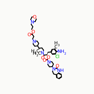 Cc1cc(C[C@@H](OC(=O)N2CCC(N3CCc4ccccc4NC3=O)CC2)C(=O)N(C)CCC(C)C2CCN(CCC(=O)OCCCN3CCOCC3)CC2)cc(Cl)c1N